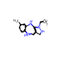 CCN1NCC2=C1Nc1cc(C)ccc1NC2